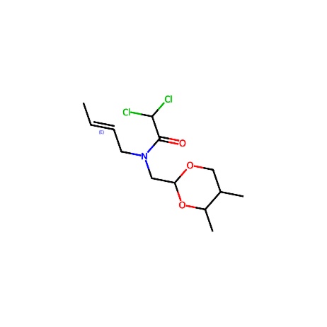 C/C=C/CN(CC1OCC(C)C(C)O1)C(=O)C(Cl)Cl